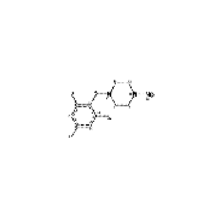 Cc1cc(C)c(CN2CCN(N=O)CC2)c(C)c1